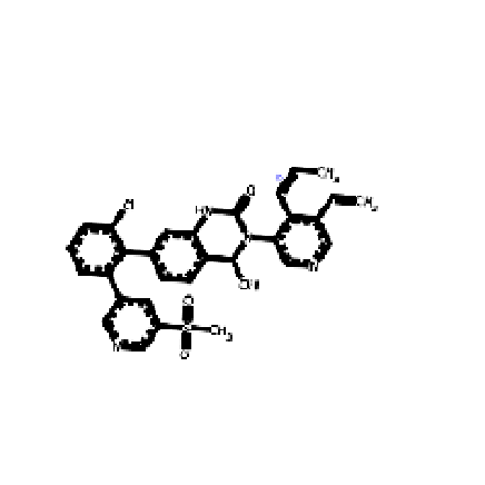 C=Cc1cncc(N2C(=O)Nc3cc(-c4c(Cl)cccc4-c4cncc(S(C)(=O)=O)c4)ccc3C2O)c1/C=C\C